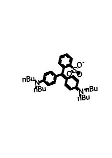 CCCCN(CCCC)c1ccc(C(=C2C=CC(=[N+](CCCC)CCCC)C=C2)c2ccccc2S(=O)(=O)[O-])cc1